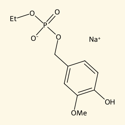 CCOP(=O)([O-])OCc1ccc(O)c(OC)c1.[Na+]